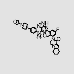 CC(=O)OCc1c(-c2nc(Nc3ccc(N4CCN(C5COC5)CC4)cc3)c3nc[nH]c3n2)cc(F)cc1N1CCn2c(cc3c2CCCC3)C1=O